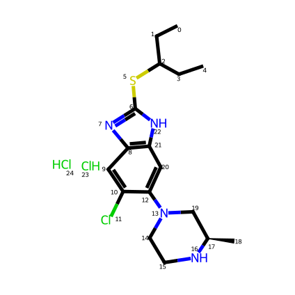 CCC(CC)Sc1nc2cc(Cl)c(N3CCN[C@H](C)C3)cc2[nH]1.Cl.Cl